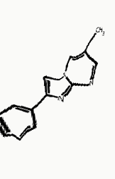 Cc1cnc2nc(-c3ccccc3)cn2c1